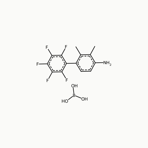 Cc1c(N)ccc(-c2c(F)c(F)c(F)c(F)c2F)c1C.OB(O)O